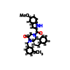 COc1ccc2[nH]c(C(=O)N3CC(=O)N(Cc4cccc(C)c4)[C@@H](CCc4ccccc4)C3)cc2c1